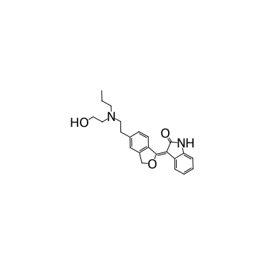 CCCN(CCO)CCc1ccc2c(c1)CO/C2=C1/C(=O)Nc2ccccc21